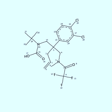 C=CCC(CN(C)C(=O)C(F)(F)F)(CN(C(=O)O)C(C)(C)C)c1ccc(Cl)c(Cl)c1